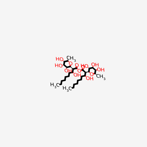 CCCCCCCC(O)C(C(=O)OC(=O)C(C(O)CCCCCCC)[C@@H]1O[C@@H](C)[C@H](O)[C@@H](O)[C@H]1O)[C@@H]1O[C@@H](C)[C@H](O)[C@@H](O)[C@H]1O